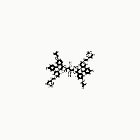 CC(C)COc1ccc(C(OC(=O)C(O)C(O)C(=O)OC(C(=O)N(Cc2ccc(F)cc2)C2CCN(CC[C@@H]3CCOCO3)CC2)c2ccc(OCC(C)C)cc2)C(=O)N(Cc2ccc(F)cc2)C2CCN(CC[C@@H]3CCOCO3)CC2)cc1